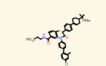 COC(C)(C)C1CC=C(c2ccc([C@@H](Cc3ccc(C(=O)NCCS(=O)(=O)O)cc3)C(=O)Nc3ccc(-c4ccc(Cl)cc4C)cc3)cc2)CC1